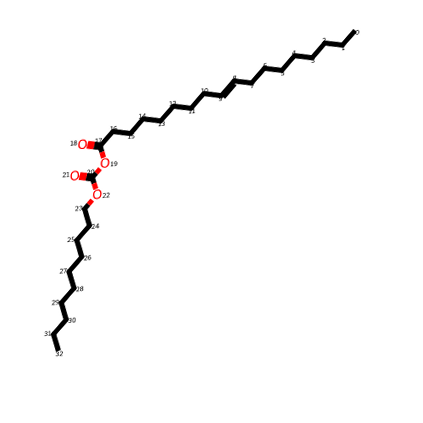 CCCCCCCCC=CCCCCCCCC(=O)OC(=O)OCCCCCCCCCC